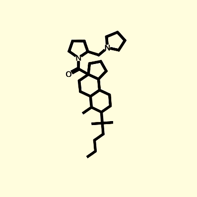 CCCCC(C)(C)C1CCC2C(CCC3(C(=O)N4CCCC4CN4CCCC4)CCCC23)C1C